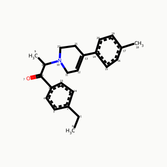 CCc1ccc(C(=O)C(C)N2CC=C(c3ccc(C)cc3)CC2)cc1